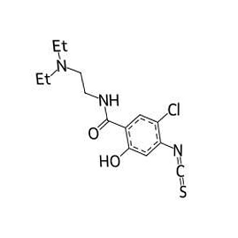 CCN(CC)CCNC(=O)c1cc(Cl)c(N=C=S)cc1O